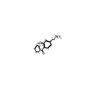 COCCc1ccc(C(=O)c2ccccc2)c(O)c1